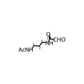 CC(=O)NCCCNC(=O)C=O